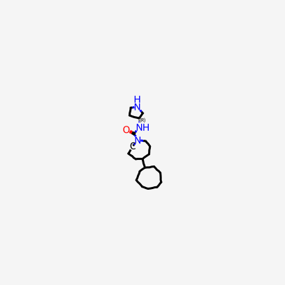 O=C(N[C@@H]1CCNC1)N1CCCC(C2CCCCCCCC2)CCC1